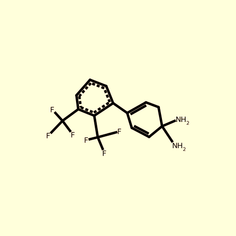 NC1(N)C=CC(c2cccc(C(F)(F)F)c2C(F)(F)F)=CC1